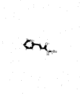 CCCCNC(=O)C=Cc1ccccn1